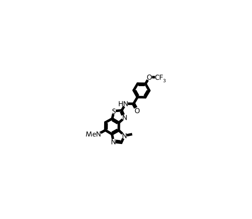 CNc1cc2sc(NC(=O)c3ccc(OC(F)(F)F)cc3)nc2c2c1ncn2C